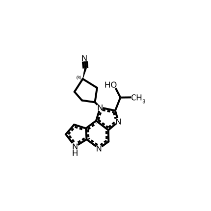 CC(O)c1nc2cnc3[nH]ccc3c2n1C1CC[C@@H](C#N)C1